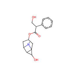 CN1C2CC(OC(=O)C(CO)c3ccccc3)CC13C(O)C23